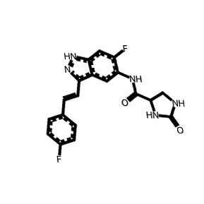 O=C1NCC(C(=O)Nc2cc3c(/C=C/c4ccc(F)cc4)n[nH]c3cc2F)N1